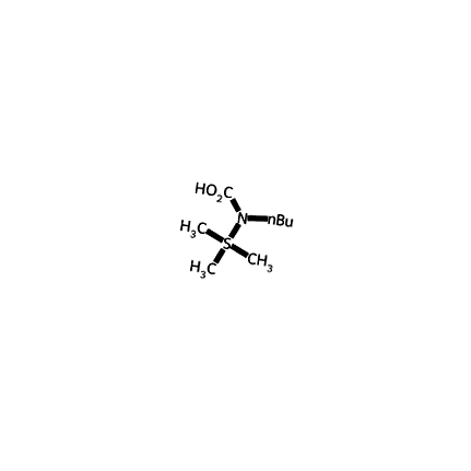 CCCCN(C(=O)O)S(C)(C)C